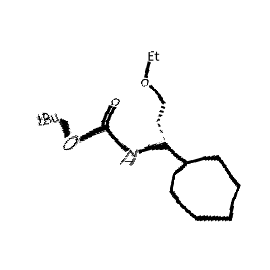 CCOC[C@@H](NC(=O)OC(C)(C)C)C1CCCCC1